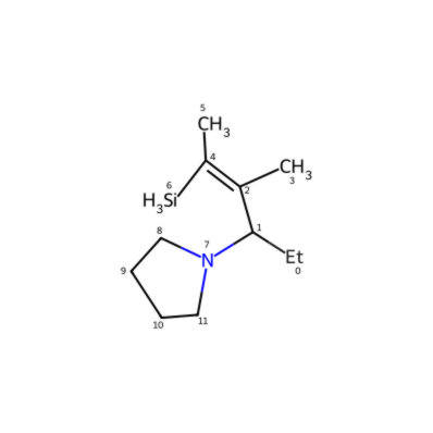 CCC(C(C)=C(C)[SiH3])N1CCCC1